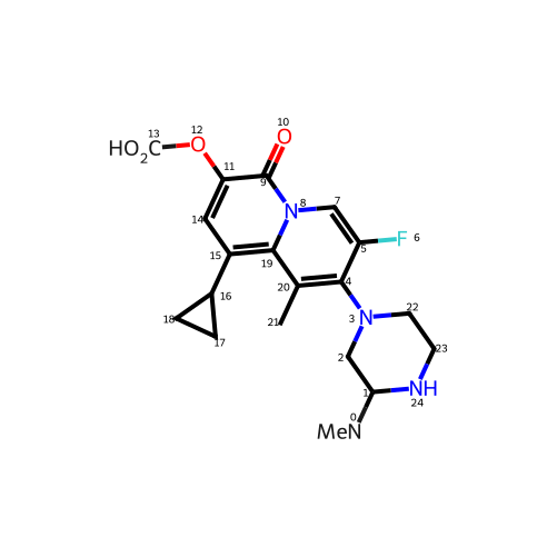 CNC1CN(c2c(F)cn3c(=O)c(OC(=O)O)cc(C4CC4)c3c2C)CCN1